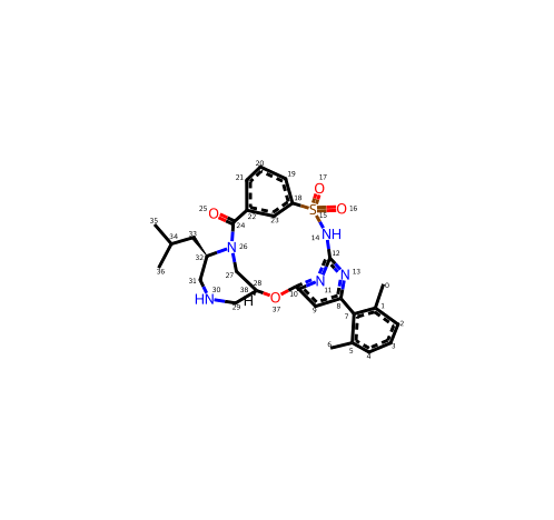 Cc1cccc(C)c1-c1cc2nc(n1)NS(=O)(=O)c1cccc(c1)C(=O)N1C[C@H](CNC[C@H]1CC(C)C)O2